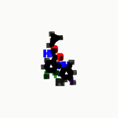 CCc1cc(Nc2c(C(=O)NOCC3CC3)ccc(F)c2F)c(C)cc1I